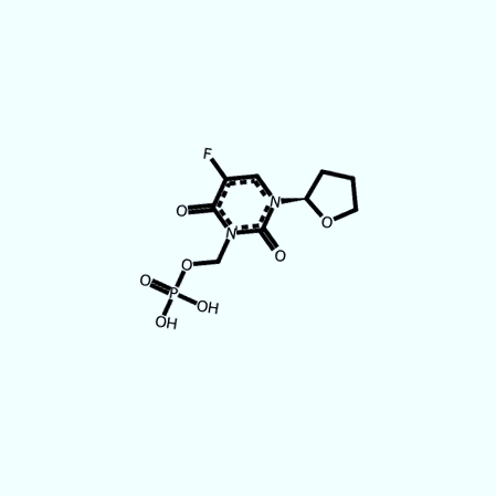 O=c1c(F)cn([C@H]2CCCO2)c(=O)n1COP(=O)(O)O